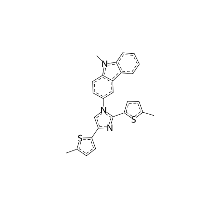 Cc1ccc(-c2cn(-c3ccc4c(c3)c3ccccc3n4C)c(-c3ccc(C)s3)n2)s1